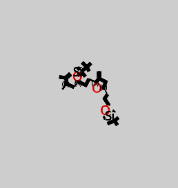 C=C(C)[C@H](C)C[C@@H](CC[C@@H]1O[C@@H](CCCO[Si](C)(C)C(C)(C)C)CC1=C)O[Si](C)(C)C(C)(C)C